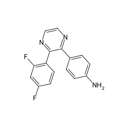 Nc1ccc(-c2nccnc2-c2ccc(F)cc2F)cc1